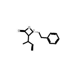 C=CC(C)C1C(=O)O[C@@H]1CCc1ccccc1